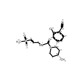 C[C@@H]1CCN(C(=O)NC/C=C/S(C)(=O)=O)[C@H](c2ccc(C#N)c(Cl)c2)C1